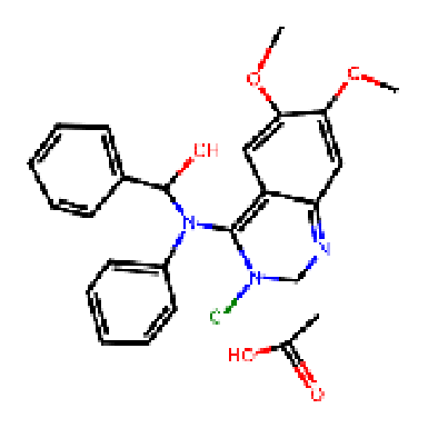 CC(=O)O.COc1cc2c(cc1OC)=C(N(c1ccccc1)C(O)c1ccccc1)N(Cl)CN=2